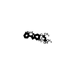 CCCCCn1c(-c2ccccc2)cc2ccc(OC(C)(C)CC(C)(C)O)cc21